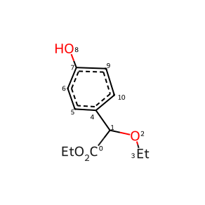 CCOC(=O)C(OCC)c1ccc(O)cc1